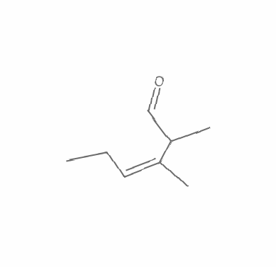 CCC=C(C)C(C)C=O